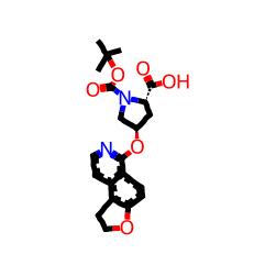 CC(C)(C)OC(=O)N1C[C@H](Oc2nccc3c4c(ccc23)OCC4)C[C@H]1C(=O)O